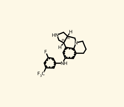 Fc1cc(Nc2cc3c4c(c2)[C@@H]2CNC[C@@H]2CN4CCC3)cc(C(F)(F)F)c1